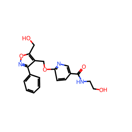 O=C(NCCO)c1ccc(OCc2c(-c3ccccc3)noc2CO)nc1